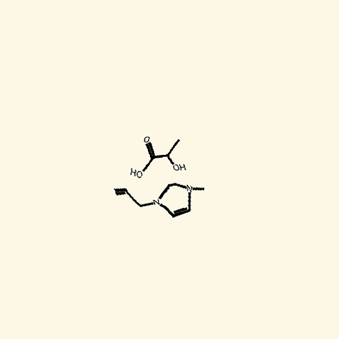 C=CCN1C=CN(C)C1.CC(O)C(=O)O